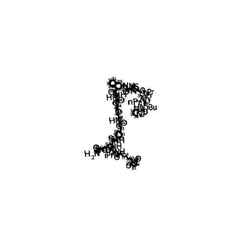 CCCO[C@H](C[C@H](C(C)C)N(CCC)C(=O)[C@@H](NC(=O)[C@H]1CCCCN1C)[C@@H](C)CC)c1nc(C(=O)NC2Cc3ccccc3[C@H](C(=O)NNC(=O)OCCOCCNC(=O)OCc3ccc(NC(=O)[C@H](CCCNC(N)=O)NC(=O)[C@@H](NC(=O)CCCCCN4C(=O)C=CC4=O)C(C)C)cc3)C2)cs1